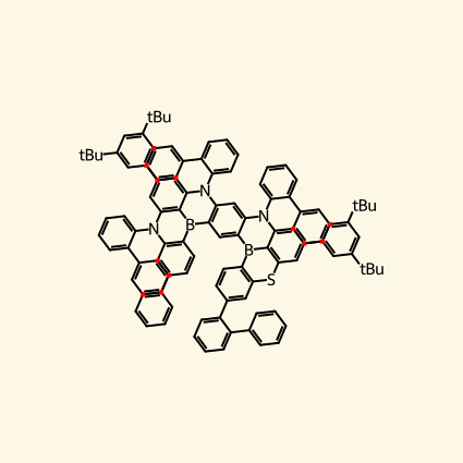 CC(C)(C)c1cc(-c2cc3c4c(c2)N(c2ccccc2-c2ccccc2)c2cc5c(cc2B4c2ccc(-c4ccccc4-c4ccccc4)cc2S3)B2c3ccc(-c4ccccc4)cc3N(c3ccccc3-c3ccccc3)c3cc(-c4cc(C(C)(C)C)cc(C(C)(C)C)c4)cc(c32)N5c2ccccc2-c2ccccc2)cc(C(C)(C)C)c1